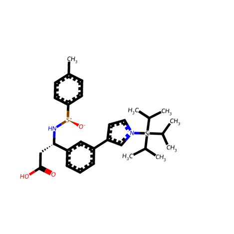 Cc1ccc([S@@+]([O-])N[C@@H](CC(=O)O)c2cccc(-c3ccn([Si](C(C)C)(C(C)C)C(C)C)c3)c2)cc1